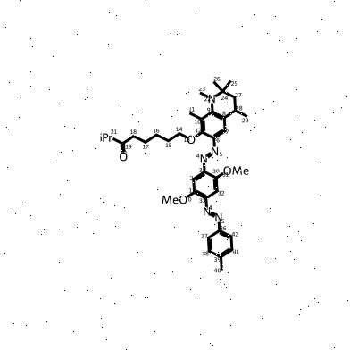 COc1cc(/N=N/c2cc3c(c(C)c2OCCCCCC(=O)C(C)C)N(C)C(C)(C)CC3C)c(OC)cc1/N=N/c1ccc(C)cc1